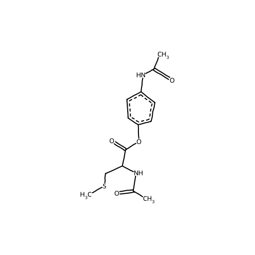 CSCC(NC(C)=O)C(=O)Oc1ccc(NC(C)=O)cc1